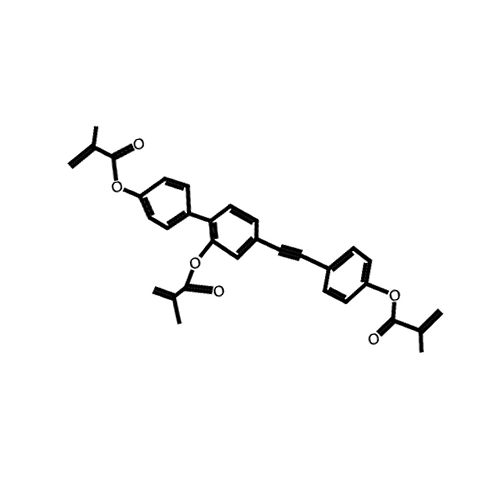 C=C(C)C(=O)Oc1ccc(C#Cc2ccc(-c3ccc(OC(=O)C(=C)C)cc3)c(OC(=O)C(=C)C)c2)cc1